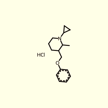 CC1C(COc2ccccc2)CCCN1C1CC1.Cl